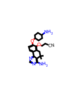 CC1(C)Cc2c(ccc(OC3CCC(N)CC3)c2OCCC#N)-c2ncnc(N)c21